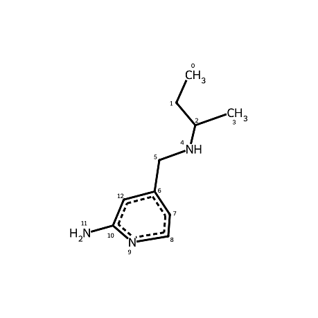 CCC(C)NCc1ccnc(N)c1